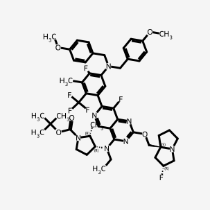 CCN(c1nc(OC[C@@]23CCCN2C[C@H](F)C3)nc2c(F)c(-c3cc(N(Cc4ccc(OC)cc4)Cc4ccc(OC)cc4)c(F)c(C)c3C(F)(F)F)ncc12)[C@@H]1CCN(C(=O)OC(C)(C)C)[C@@H]1C